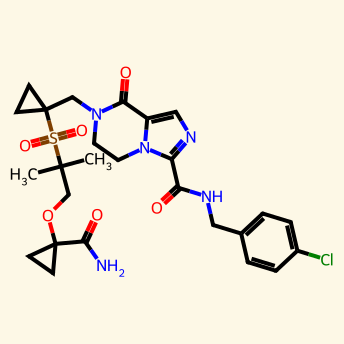 CC(C)(COC1(C(N)=O)CC1)S(=O)(=O)C1(CN2CCn3c(cnc3C(=O)NCc3ccc(Cl)cc3)C2=O)CC1